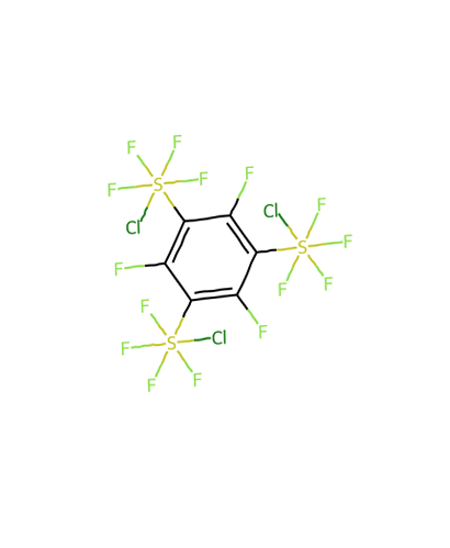 Fc1c(S(F)(F)(F)(F)Cl)c(F)c(S(F)(F)(F)(F)Cl)c(F)c1S(F)(F)(F)(F)Cl